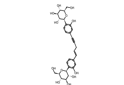 OC[C@H]1O[C@@H](c2ccc(C#CC/C=C/c3ccc([C@@H]4O[C@H](CO)[C@@H](O)[C@H](O)[C@H]4O)c(O)c3)cc2O)[C@H](O)[C@@H](O)[C@@H]1O